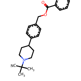 CC(C)(C#N)N1CCC(c2ccc(COC(=O)c3ccccc3)cc2)CC1